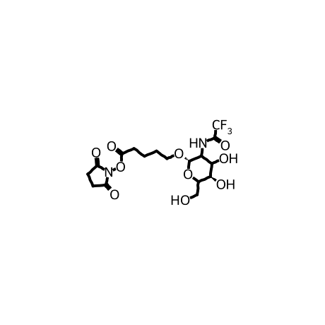 O=C(CCCCO[C@H]1OC(CO)[C@H](O)C(O)C1NC(=O)C(F)(F)F)ON1C(=O)CCC1=O